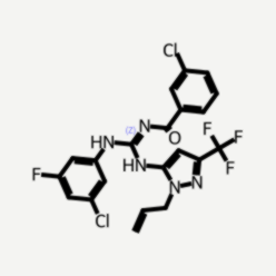 C=CCn1nc(C(F)(F)F)cc1N/C(=N\C(=O)c1cccc(Cl)c1)Nc1cc(F)cc(Cl)c1